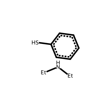 CCNCC.Sc1ccccc1